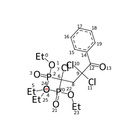 CCOP(=O)(OCC)C(Cl)(CC(Cl)(Cl)C(=O)c1ccccc1)P(=O)(OCC)OCC